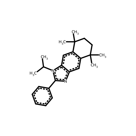 CC(C)n1c(-c2ccccc2)nc2cc3c(cc21)C(C)(C)CCC3(C)C